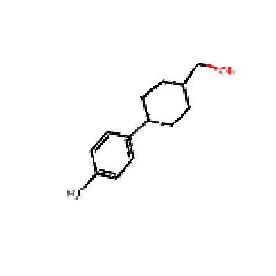 Cc1ccc(C2CCC(CO)CC2)cc1